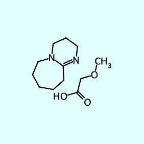 C1CCC2=NCCCN2CC1.COCC(=O)O